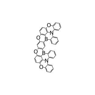 c1ccc2c(c1)Oc1ccc3c4c1N2c1ccccc1B4c1cc2c(cc1O3)Oc1ccc3c4c1B2c1ccccc1N4c1ccccc1O3